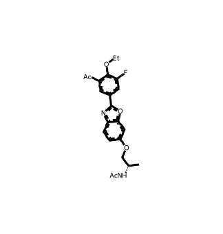 CCOc1c(F)cc(-c2nc3ccc(OC[C@H](C)NC(C)=O)cc3o2)cc1C(C)=O